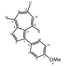 COc1ccc(-c2ccc3c(C)cc(C)cc(C)c2-3)cc1